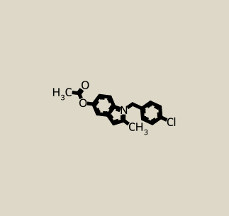 CC(=O)Oc1ccc2c(c1)cc(C)n2Cc1ccc(Cl)cc1